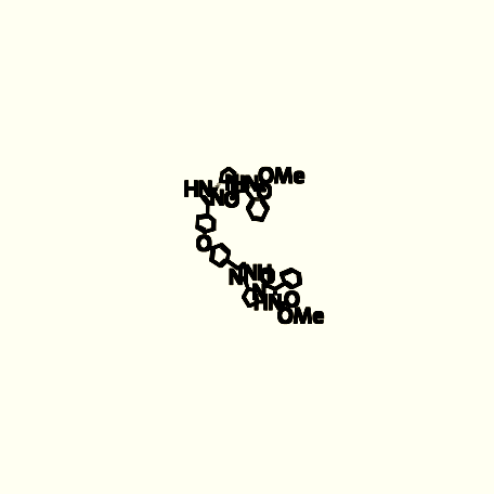 COC(=O)N[C@@H](C(=O)N1CCC[C@H]1c1nc(-c2ccc(Oc3ccc(-c4c[nH]c([C@@H]5CCCN5C(=O)[C@H](NC(=O)OC)c5ccccc5)n4)cc3)cc2)c[nH]1)c1ccccc1